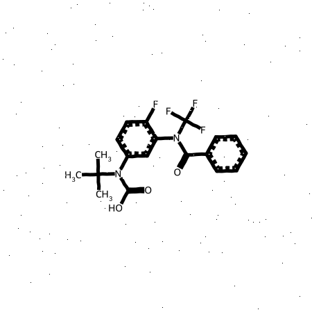 CC(C)(C)N(C(=O)O)c1ccc(F)c(N(C(=O)c2ccccc2)C(F)(F)F)c1